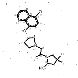 N#C[C@@H]1CC(F)(F)CN1C(=O)CN1CC[C@H](Oc2ccc(Cl)c3cccnc23)C1